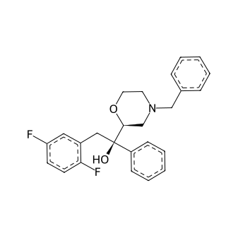 O[C@](Cc1cc(F)ccc1F)(c1ccccc1)[C@@H]1CN(Cc2ccccc2)CCO1